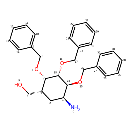 N[C@H]1C[C@H](CO)[C@H](OCc2ccccc2)[C@H](OCc2ccccc2)[C@H]1OCc1ccccc1